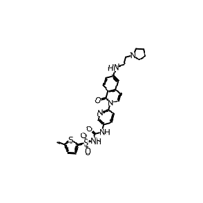 Cc1ccc(S(=O)(=O)NC(=O)Nc2ccc(-n3ccc4cc(NCCN5CCCC5)ccc4c3=O)nc2)s1